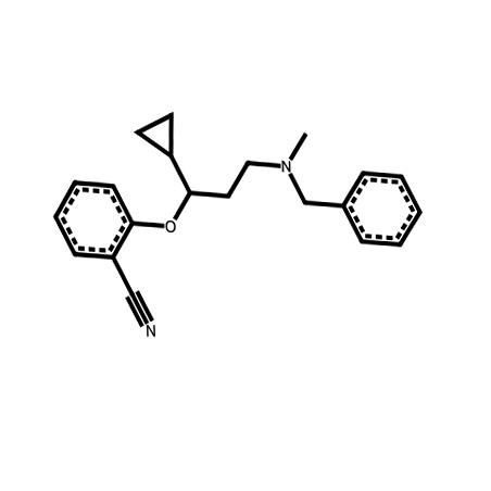 CN(CCC(Oc1ccccc1C#N)C1CC1)Cc1ccccc1